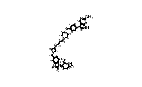 Cn1c(=O)n([C@H]2CCC(=O)NC2=O)c2ccc(CN3CC(OCCCN4CCN(Cc5ccc(-c6c[nH]c7nc(N)ncc67)cc5)CC4)C3)cc21